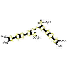 CCOC(=O)S(C)(C)C1=C(SCSC2=C(S(C)(C)C(=O)OCC)SC(=C3SC4=C(SC(=C5SC(SC)=C(SC)S5)S4)S3)S2)SC(=C2SC3=C(SC(=C4SC(SC)=C(SC)S4)S3)S2)S1